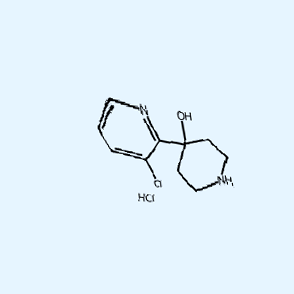 Cl.OC1(c2ncccc2Cl)CCNCC1